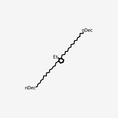 [CH2]Cc1c(CCCCCCCCCCCCCCCCCCCCCCCC)cccc1CCCCCCCCCCCCCCCCCCCCCCCC